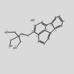 Cl.OCC(CO)(CO)NCc1ccc2c3c(cccc13)-c1ccccc1-2